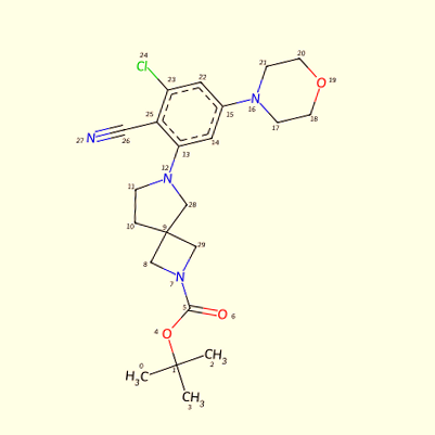 CC(C)(C)OC(=O)N1CC2(CCN(c3cc(N4CCOCC4)cc(Cl)c3C#N)C2)C1